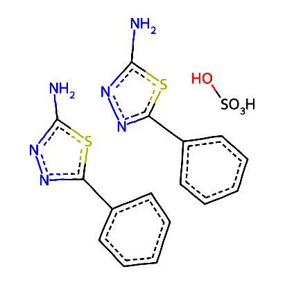 Nc1nnc(-c2ccccc2)s1.Nc1nnc(-c2ccccc2)s1.O=S(=O)(O)O